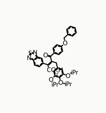 CC(C)Oc1cc(CC(C(=O)c2ccc(OCc3ccccc3)cc2)=C(C(=O)O)c2ccc3nsnc3c2)cc(OC(C)C)c1OC(C)C